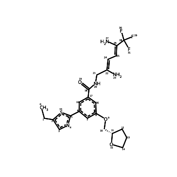 CCc1cnc(-c2cc(OC[C@@H]3CCCO3)cc(C(=O)NC/C(N)=C/C=C(\N)C(F)(F)F)c2)s1